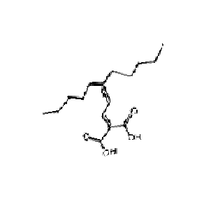 CCCCCC(=CC=C(C(=O)O)C(=O)O)CCCCC